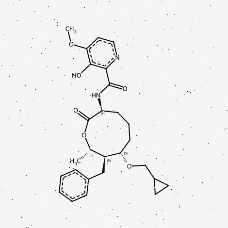 COc1ccnc(C(=O)N[C@H]2CCC[C@H](OCC3CC3)[C@@H](Cc3ccccc3)[C@H](C)OC2=O)c1O